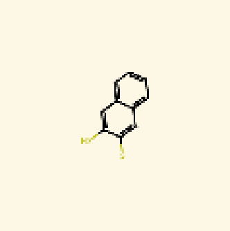 Sc1[c]c2ccccc2cc1S